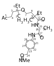 CCC(C)(CCC(C)=O)OCCC(C)(CC)C(=O)N[C@H](C)C(=O)Nc1ccc(CONC)cc1